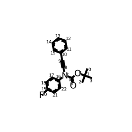 CC(C)(C)OC(=O)N(C#Cc1ccccc1)c1ccc(F)cc1